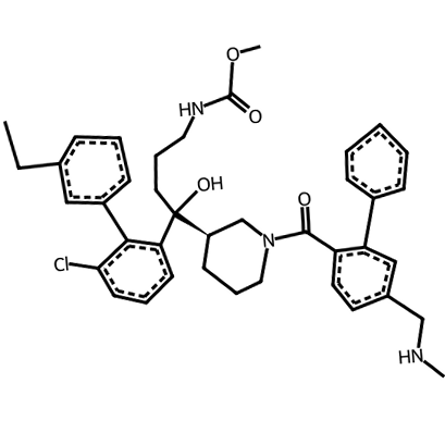 CCc1cccc(-c2c(Cl)cccc2C(O)(CCCNC(=O)OC)[C@@H]2CCCN(C(=O)c3ccc(CNC)cc3-c3ccccc3)C2)c1